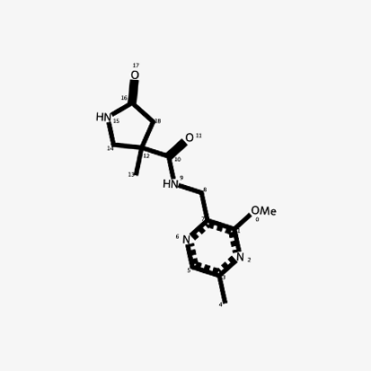 COc1nc(C)cnc1CNC(=O)C1(C)CNC(=O)C1